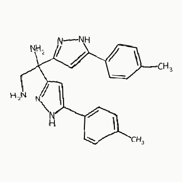 Cc1ccc(-c2cc(C(N)(CN)c3cc(-c4ccc(C)cc4)[nH]n3)n[nH]2)cc1